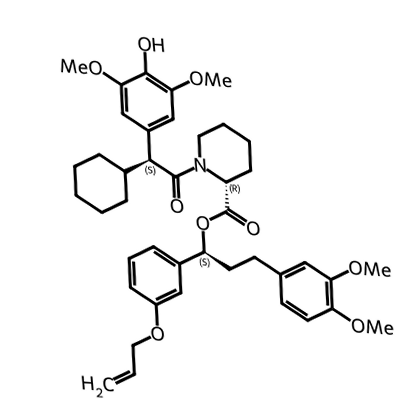 C=CCOc1cccc([C@H](CCc2ccc(OC)c(OC)c2)OC(=O)[C@H]2CCCCN2C(=O)[C@H](c2cc(OC)c(O)c(OC)c2)C2CCCCC2)c1